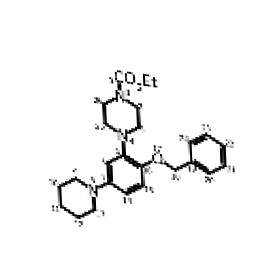 CCOC(=O)N1CCN(c2cc(N3CCCCC3)ccc2OCc2ccccc2)CC1